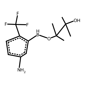 CC(C)(O)C(C)(C)OBc1cc(N)ccc1C(F)(F)F